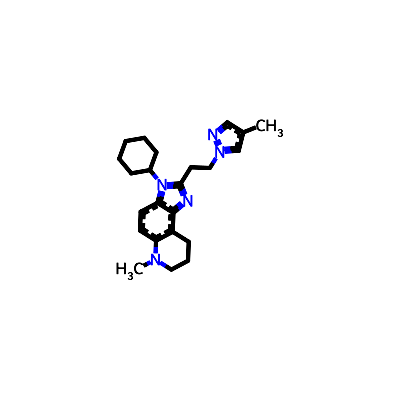 Cc1cnn(CCc2nc3c4c(ccc3n2C2CCCCC2)N(C)CCC4)c1